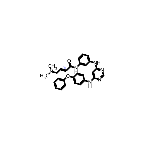 CN(C)C/C=C/C(=O)Nc1cccc(Nc2cc(Nc3ccc(Oc4ccccc4)cc3)ncn2)c1